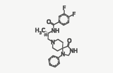 C[C@@H](CN1CCC2(CC1)C(=O)NCN2c1ccccc1)NC(=O)c1ccc(F)c(F)c1